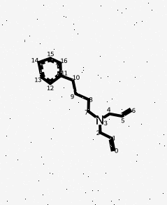 C=CCN(CC=C)CCCCc1ccccc1